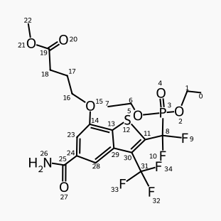 CCOP(=O)(OCC)C(F)(F)c1sc2c(OCCCC(=O)OC)cc(C(N)=O)cc2c1C(F)(F)F